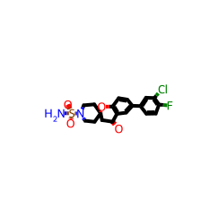 NS(=O)(=O)N1CCC2(CC1)CC(=O)c1cc(-c3ccc(F)c(Cl)c3)ccc1O2